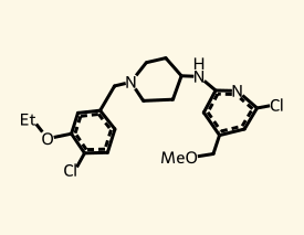 CCOc1cc(CN2CCC(Nc3cc(COC)cc(Cl)n3)CC2)ccc1Cl